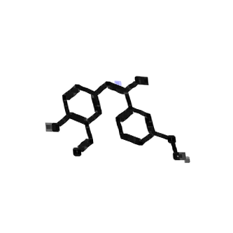 COc1cccc(/C(O)=C\c2ccc(O)c(C=O)c2)c1